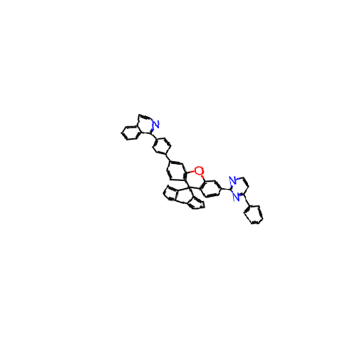 c1ccc(-c2ccnc(-c3ccc4c(c3)Oc3cc(-c5ccc(-c6nccc7ccccc67)cc5)ccc3C43c4ccccc4-c4ccccc43)n2)cc1